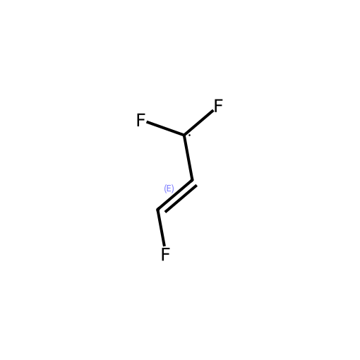 F/C=C/[C](F)F